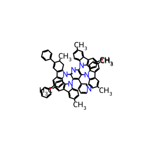 Cc1ccc2c(c1)c1cc(C)ccc1n2-c1nc(-n2c3c(c4cc(-c5ccccc5)ccc42)C=C(c2ccccc2)C(C)C3)c(-n2c3ccc(C)cc3c3cc(C)ccc32)c(-c2cccnc2)c1-n1c2ccc(C)cc2c2cc(C)ccc21